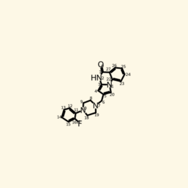 O=c1[nH]c2cc(CN3CCN(c4ccccc4F)CC3)cn2c2ccccc12